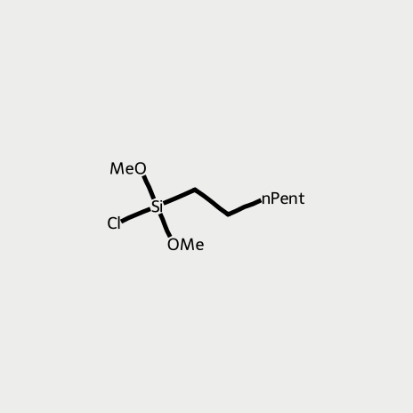 CCCCCCC[Si](Cl)(OC)OC